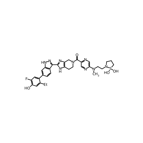 CCc1cc(O)c(F)cc1-c1ccc2c(-c3nc4c([nH]3)CCN(C(=O)c3cnc(N(C)CCN5CCCS5(O)O)cn3)C4)n[nH]c2c1